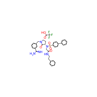 N=C(N)c1cccc(CN2CC[C@H](N(CC(=O)NCCc3ccccc3)S(=O)(=O)c3ccc(-c4ccccc4)cc3)C2=O)c1.O=C(O)C(F)(F)F